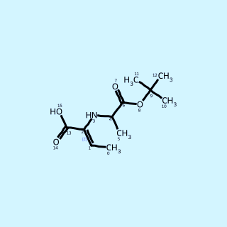 C/C=C(\NC(C)C(=O)OC(C)(C)C)C(=O)O